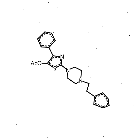 CC(=O)Oc1sc(N2CCN(CCc3ccccc3)CC2)nc1-c1ccccc1